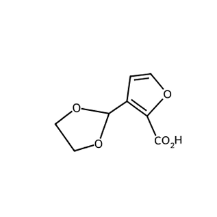 O=C(O)c1occc1C1OCCO1